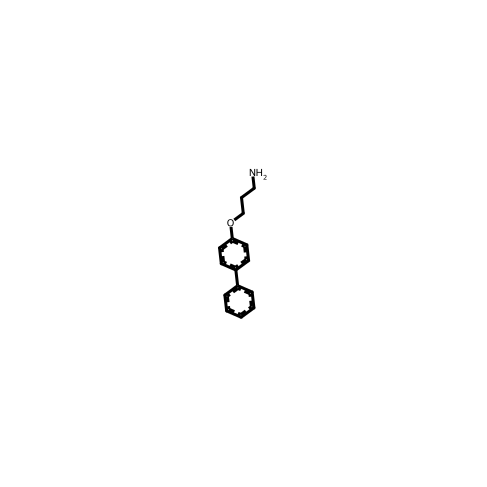 NCCCOc1ccc(-c2ccccc2)cc1